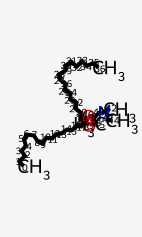 CCCCC/C=C\C/C=C\CCCCCCCCC1(CCCCCCCC/C=C\C/C=C\CCCCC)OCC(CN(C)C(C)C)O1